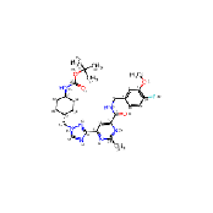 COc1cc(CNC(=O)c2cc(-c3ncn(C[C@H]4CC[C@H](NC(=O)OC(C)(C)C)CC4)n3)nc(C)n2)ccc1F